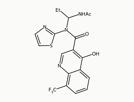 CCC(NC(C)=O)N(C(=O)c1cnc2c(C(F)(F)F)cccc2c1O)c1nccs1